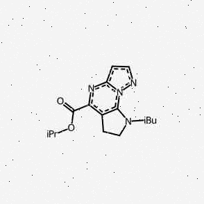 CCC(C)N1CCc2c(C(=O)OC(C)C)nc3ccnn3c21